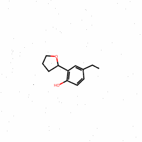 CCc1ccc(O)c(C2CCCO2)c1